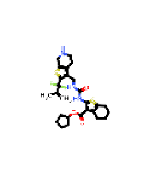 C=C(C)C(F)(F)c1sc2c(c1CNC(=O)Nc1sc3c(c1C(=O)OC1CCCC1)CCCC3)CCNC2